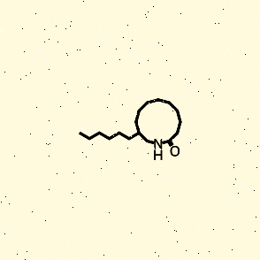 CCCCCCC1CCCCCCCCC(=O)NC1